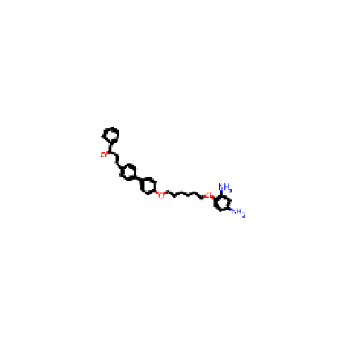 Nc1ccc(OCCCCCCOc2ccc(-c3ccc(C=CC(=O)c4ccccc4)cc3)cc2)c(N)c1